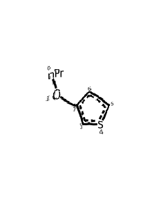 CCCOc1[c]scc1